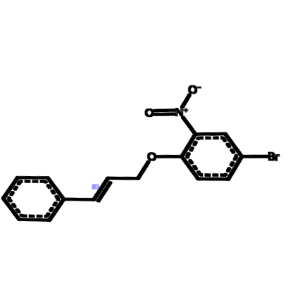 O=[N+]([O-])c1cc(Br)ccc1OC/C=C/c1ccccc1